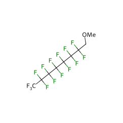 [CH2]OCC(F)(F)C(F)(F)C(F)(F)C(F)(F)C(F)(F)C(F)(F)C(F)(F)F